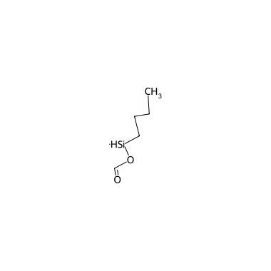 CCCC[SiH]OC=O